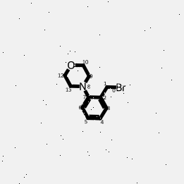 BrCc1ccccc1N1CCOCC1